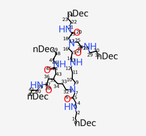 CCCCCCCCCCCCNCC(=O)CN(CCCCNCCCN(CC(=O)NCCCCCCCCCCCC)CC(=O)NCCCCCCCCCCCC)CCCC(CC(=O)NCCCCCCCCCCCC)CC(=O)NCCCCCCCCCCCC